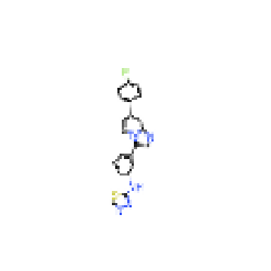 Fc1ccc(-c2ccn3c(-c4cccc(Nc5nncs5)c4)cnc3c2)cc1